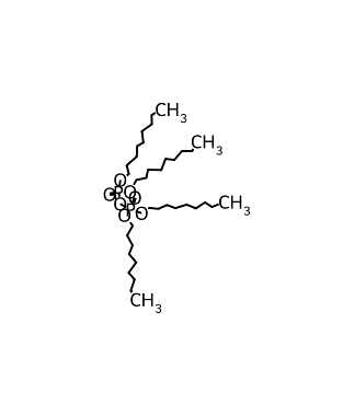 CCCCCCCCCOP(=O)(OCCCCCCCCC)OP(=O)(OCCCCCCCCC)OCCCCCCCCC